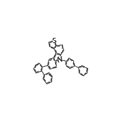 c1ccc(-c2ccc(-n3c4ccc(-c5ccccc5-c5ccccc5)cc4c4c5ccsc5ccc43)cc2)cc1